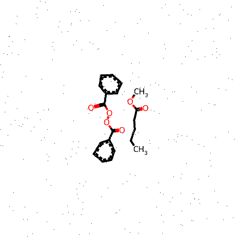 CCCCC(=O)OC.O=C(OOC(=O)c1ccccc1)c1ccccc1